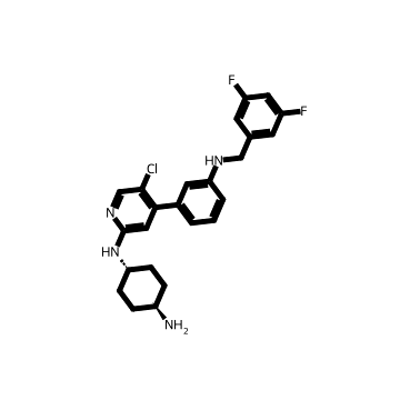 N[C@H]1CC[C@H](Nc2cc(-c3cccc(NCc4cc(F)cc(F)c4)c3)c(Cl)cn2)CC1